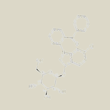 O=C(c1ccccc1)c1ccccc1-n1cc(O[C@@H]2O[C@H](CO)[C@@H](O)[C@H](O)[C@H]2O)c2ccc(Cl)cc21